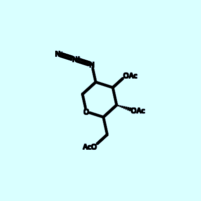 CC(=O)OCC1OCC(N=[N+]=[N-])C(OC(C)=O)[C@@H]1OC(C)=O